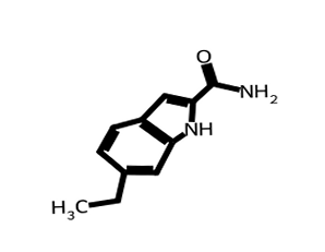 CCc1ccc2cc(C(N)=O)[nH]c2c1